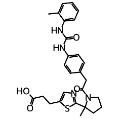 Cc1ccccc1NC(=O)Nc1ccc(CC(=O)N2CCCC2(C)c2ncc(CCC(=O)O)s2)cc1